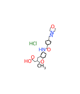 CC1Oc2ccc(NC(=O)c3ccc(C=NN4CCOCC4)cc3)cc2CC1CC(=O)O.Cl